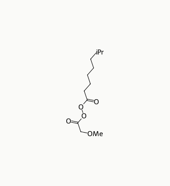 COCC(=O)OOC(=O)CCCCCC(C)C